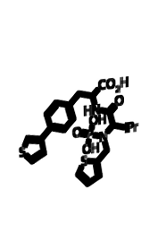 CC(C)C(C(=O)NC(Cc1ccc(-c2ccsc2)cc1)C(=O)O)N(Cc1cccs1)P(=O)(O)O